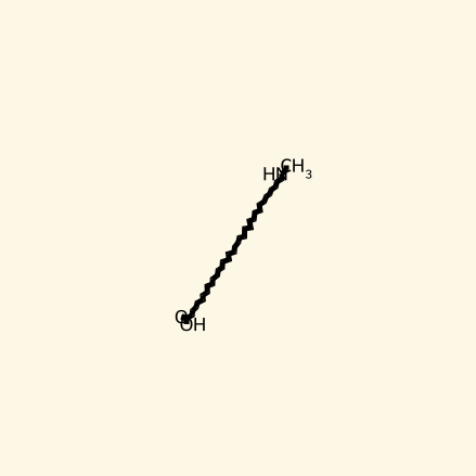 CCNCCCCCCCCCCCCCCCCCCCCCCCCCCCCCCCCCCCC(=O)O